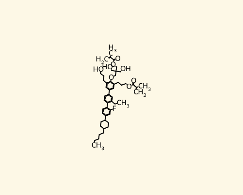 C=C(C)C(=O)OCCCc1cc(-c2ccc(-c3ccc(C4CCC(CCCCC)CC4)cc3F)c(CC)c2)cc(CCCO)c1OCC(CO)(CO)COC(=O)C(=C)C